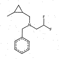 CC1CC1CN(Cc1ccccc1)CC(F)F